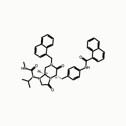 CNC(=O)N(C(C)C)N1CC(=O)N2[C@@H](Cc3ccc(NC(=O)c4cccc5ccccc45)cc3)C(=O)N(Cc3cccc4ccccc34)C[C@@H]21